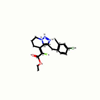 CCOC(=O)/C(F)=C1\CCCn2nnc(Cc3ccc(Cl)cc3C)c21